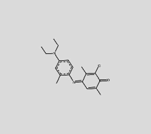 CCN(CC)c1ccc(N=C2C=C(C)C(=O)C(Cl)=C2C)c(C)c1